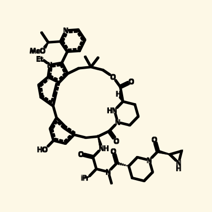 CCn1c(-c2cccnc2[C@H](C)OC)c2c3cc(ccc31)-c1cc(O)cc(c1)C[C@H](NC(=O)C(C(C)C)N(C)C(=O)[C@H]1CCCN(C(=O)[C@H]3CN3)C1)C(=O)N1CCC[C@H](N1)C(=O)OCC(C)(C)C2